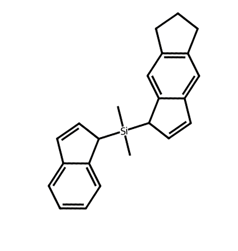 C[Si](C)(C1C=Cc2ccccc21)C1C=Cc2cc3c(cc21)CCC3